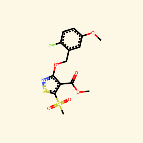 COC(=O)c1c(OCc2cc(OC)ccc2F)nsc1S(C)(=O)=O